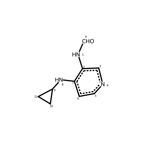 O=CNc1cnccc1NC1CC1